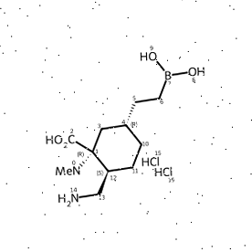 CN[C@]1(C(=O)O)C[C@H](CCB(O)O)CC[C@H]1CN.Cl.Cl